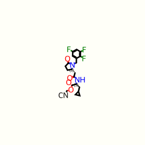 N#CCOC(=O)[C@H](CC1CC1)NC(=O)C[C@@H]1CCC(=O)N1Cc1cc(F)cc(F)c1F